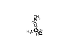 CCOC(=O)COCc1cc(C)cc2c1O[C@@H]1CC=C[C@H]21